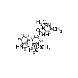 Cc1cc(NC(=O)C2CC3c4cccc5[nH]cc(c45)C[C@H]3N(C(C)C)C2)nc(C)n1